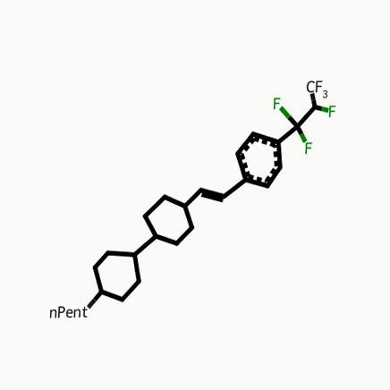 CCCCCC1CCC(C2CCC(C=Cc3ccc(C(F)(F)C(F)C(F)(F)F)cc3)CC2)CC1